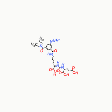 CCN(CC)C(=O)c1cc(N=[N+]=[N-])cc(C(=O)NCCCC[C@H](NC(=O)NC(CCC(=O)O)C(=O)O)C(=O)O)c1